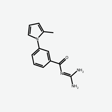 Cc1cccn1-c1cccc(C(=O)N=C(N)N)c1